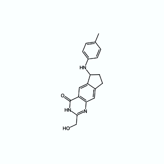 Cc1ccc(NC2CCc3cc4nc(CO)[nH]c(=O)c4cc32)cc1